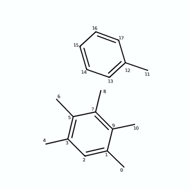 Cc1cc(C)c(C)c(C)c1C.Cc1ccccc1